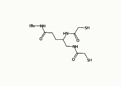 CC(C)(C)NC(=O)CCC(CNC(=O)CS)NC(=O)CS